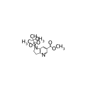 COC(=O)c1cnc2c(c1)N(S(=O)(=O)C(C)(C)C)CC2